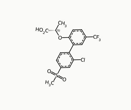 C[C@H](Oc1ccc(C(F)(F)F)cc1-c1ccc(S(C)(=O)=O)cc1Cl)C(=O)O